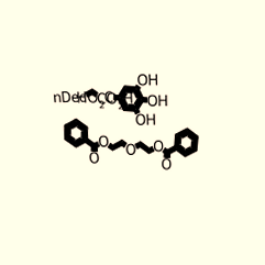 CCCCCCCCCCCC(=O)O.O=C(O)c1cc(O)c(O)c(O)c1.O=C(OCCOCCOC(=O)c1ccccc1)c1ccccc1